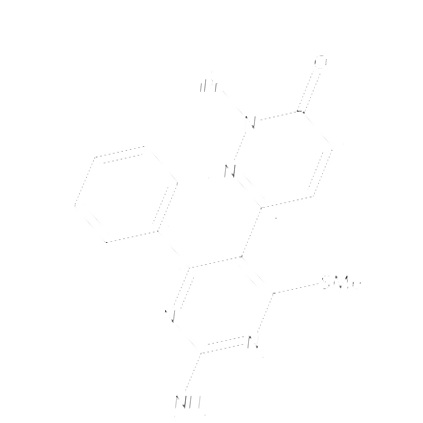 CSc1nc(N)nc(-c2ccccc2)c1-c1ccc(=O)n(C(C)C)n1